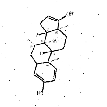 C[C@H]1CC2C=C(O)C=C[C@]2(C)[C@H]2CC[C@]3(C)C(O)=CC[C@H]3[C@H]12